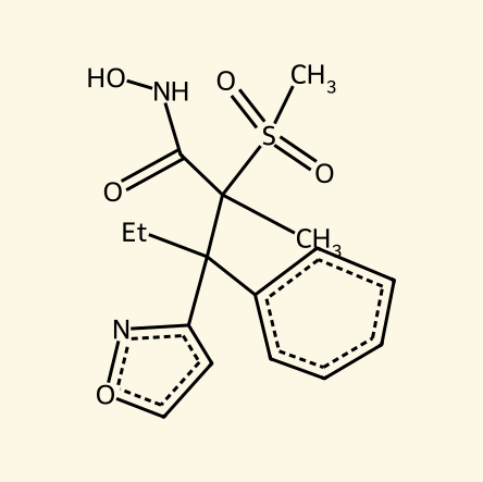 CCC(c1ccccc1)(c1ccon1)C(C)(C(=O)NO)S(C)(=O)=O